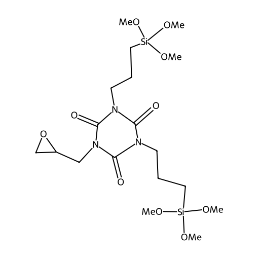 CO[Si](CCCn1c(=O)n(CCC[Si](OC)(OC)OC)c(=O)n(CC2CO2)c1=O)(OC)OC